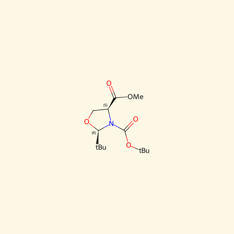 COC(=O)[C@@H]1CO[C@H](C(C)(C)C)N1C(=O)OC(C)(C)C